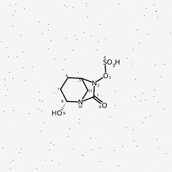 O=C1N(OS(=O)(=O)O)C2CC[C@@H](O)N1C2